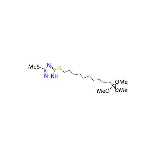 CO[Si](CCCCCCCCCCSc1nc(SC)n[nH]1)(OC)OC